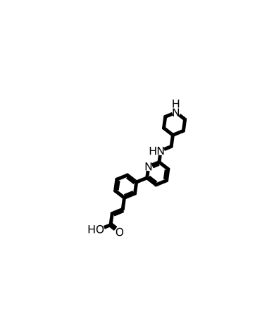 O=C(O)C=Cc1cccc(-c2cccc(NCC3CCNCC3)n2)c1